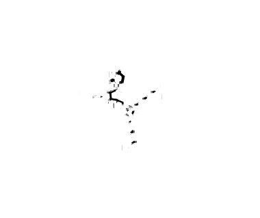 CO[C@H]1O[C@H]2[C@@](C)(O1)[C@H](n1ccc(=O)[nH]c1=O)O[C@]2(F)COP(=O)(OCOC(=O)OC(C)C)OCOC(=O)OC(C)C